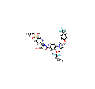 CCC(F)(F)OC[C@@H]1C[C@@H](Oc2ccc(C(F)(F)F)cc2)CN1c1ccc(C(=O)N[C@@H](CO)C2=NC=C(S(=O)(=O)CC)CC2)cc1